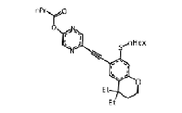 CCCCCCSc1cc2c(cc1C#Cc1cnc(OC(=O)CCC)cn1)C(CC)(CC)CCO2